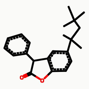 CC(C)(C)CC(C)(C)c1ccc2c(c1)C(c1ccccc1)C(=O)O2